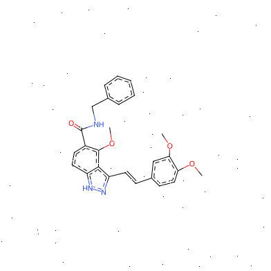 COc1ccc(/C=C/c2n[nH]c3ccc(C(=O)NCc4ccccc4)c(OC)c23)cc1OC